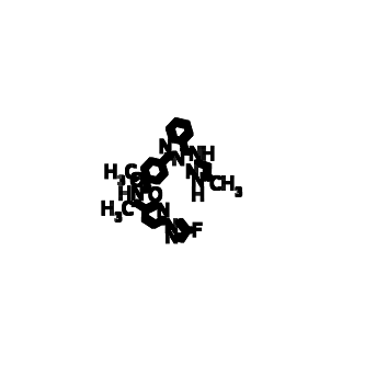 COC1(C(=O)N[C@@H](C)c2ccc(-n3cc(F)cn3)nc2)CCC(c2nc(Nc3cc(C)[nH]n3)c3ccccc3n2)CC1